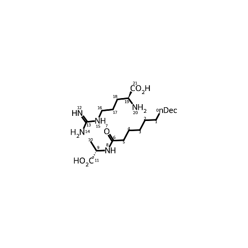 CCCCCCCCCCCCCCCC(=O)N[C@@H](C)C(=O)O.N=C(N)NCCC[C@H](N)C(=O)O